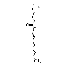 CCCCCCC=COC(=O)CCCCC